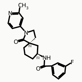 Cc1cc(N2CC[C@]3(CCC[C@H](NC(=O)c4cccc(F)c4)C3)C2=O)ccn1